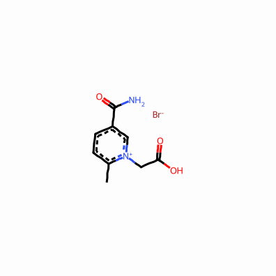 Cc1ccc(C(N)=O)c[n+]1CC(=O)O.[Br-]